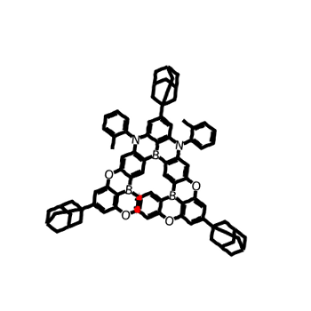 Cc1ccccc1N1c2cc3c(cc2B2c4cc5c(cc4N(c4ccccc4C)c4cc(C67CC8CC(CC(C8)C6)C7)cc1c42)Oc1cc(C24CC6CC(CC(C6)C2)C4)cc2c1B5c1ccccc1O2)B1c2ccccc2Oc2cc(C45CC6CC(CC(C6)C4)C5)cc(c21)O3